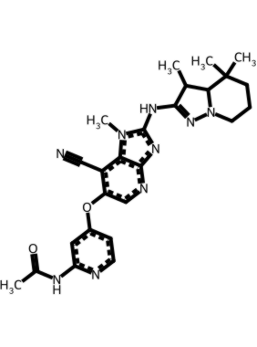 CC(=O)Nc1cc(Oc2cnc3nc(NC4=NN5CCCC(C)(C)C5C4C)n(C)c3c2C#N)ccn1